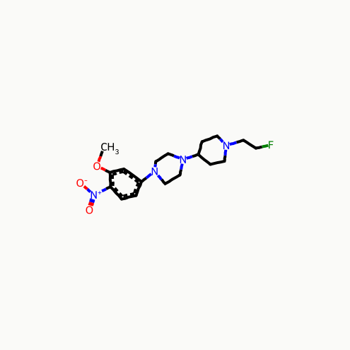 COc1cc(N2CCN(C3CCN(CCF)CC3)CC2)ccc1[N+](=O)[O-]